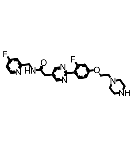 O=C(Cc1cnc(-c2ccc(OCCN3CCNCC3)cc2F)nc1)NCc1cc(F)ccn1